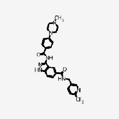 CN1CCN(c2ccc(C(=O)Nc3n[nH]c4ccc(C(=O)NCc5ccc(C(F)(F)F)nc5)cc34)cc2)CC1